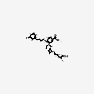 CCN(C[C@@H]1CC[C@H]1C/C=C/C[C@H](C)CS)c1cc(C(N)=O)ccc1OCCCCc1cccc(Cl)c1